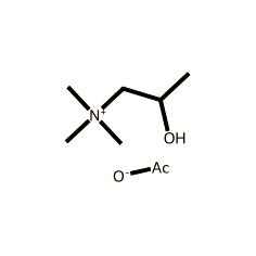 CC(=O)[O-].CC(O)C[N+](C)(C)C